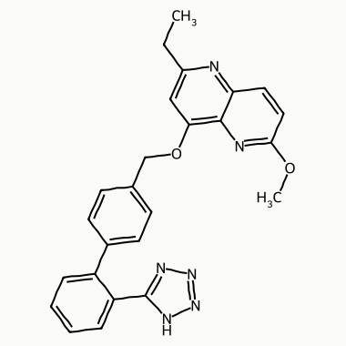 CCc1cc(OCc2ccc(-c3ccccc3-c3nnn[nH]3)cc2)c2nc(OC)ccc2n1